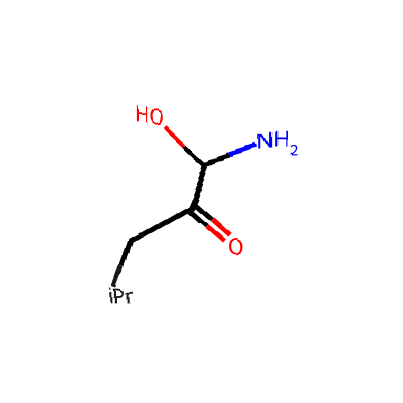 CC(C)CC(=O)C(N)O